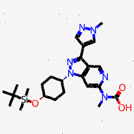 CN(C(=O)O)c1cc2c(cn1)c(-c1cnn(C)c1)nn2[C@H]1CC[C@@H](O[Si](C)(C)C(C)(C)C)CC1